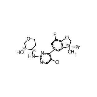 CC(C)[C@@]1(C)COc2c(F)cc(-c3nc(N[C@@H]4CCOC[C@H]4O)ncc3Cl)cc21